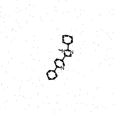 Cn1c(-c2ccc(-c3ccccc3)nc2)cnc1-c1ccccc1